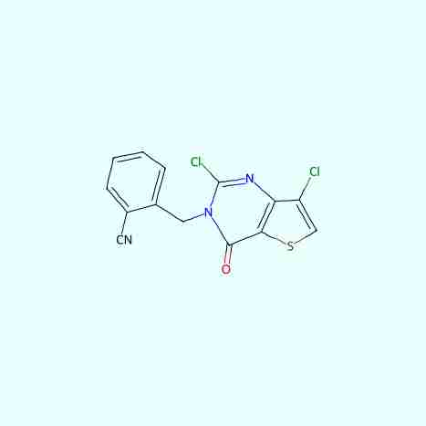 N#Cc1ccccc1Cn1c(Cl)nc2c(Cl)csc2c1=O